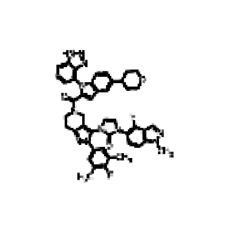 Cc1cc(-n2nc3c(c2-n2ccn(-c4ccc5c(cnn5C)c4F)c2=O)CN(C(=O)c2cc4cc(C5CCOCC5)ccc4n2-c2cccc4[nH]nnc24)CC3)cc(C)c1F